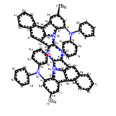 CC(C)(C)c1cc(N(c2ccccc2)c2ccccc2)c2c(c1)c1c3ccccc3cc3c4nc5c(nc4n2c31)c1cc2ccccc2c2c3cc(C(C)(C)C)cc(N(c4ccccc4)c4ccccc4)c3n5c12